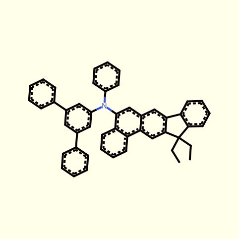 CCC1(CC)c2ccccc2-c2cc3cc(N(c4ccccc4)c4cc(-c5ccccc5)cc(-c5ccccc5)c4)c4ccccc4c3cc21